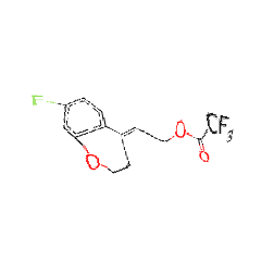 O=C(OCC=C1CCOc2cc(F)ccc21)C(F)(F)F